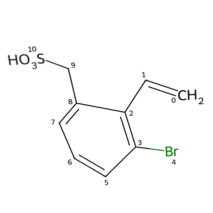 C=Cc1c(Br)cccc1CS(=O)(=O)O